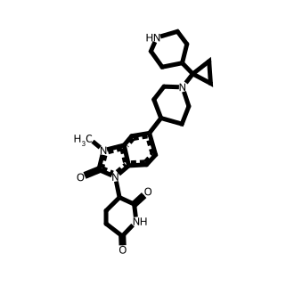 Cn1c(=O)n(C2CCC(=O)NC2=O)c2ccc(C3CCN(C4(C5CCNCC5)CC4)CC3)cc21